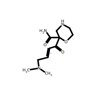 CN(C)C/C=C/C(=O)C1(C(N)=O)CNCCO1